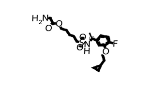 C[C@H](NS(=O)(=O)CCCCCOC(=O)CN)c1ccc(F)c(OCCC2CC2)c1